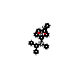 c1ccc(-c2cc(-c3ccccc3)cc(-c3nc(-c4ccccc4)nc(-c4cc(-c5ccccc5)c(-n5c6ccccc6c6c7oc8ccccc8c7ccc65)c(-c5ccccc5)c4)n3)c2)cc1